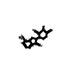 CN1C(=O)CCC(N2Cc3c(N)cccc3C2=O)C1=O